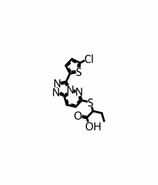 CCC(Sc1ccc2nnc(-c3ccc(Cl)s3)n2n1)C(=O)O